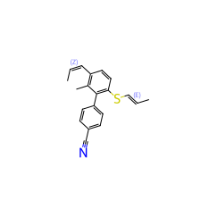 C/C=C\c1ccc(S/C=C/C)c(-c2ccc(C#N)cc2)c1C